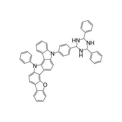 c1ccc(C2NC(c3ccccc3)NC(c3ccc(-n4c5ccccc5c5c4ccc4c6c7oc8ccccc8c7ccc6n(-c6ccccc6)c45)cc3)N2)cc1